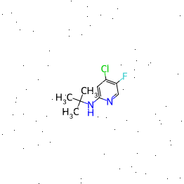 CC(C)(C)Nc1cc(Cl)c(F)cn1